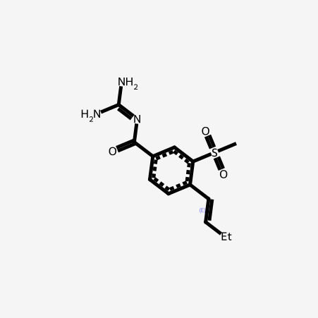 CC/C=C/c1ccc(C(=O)N=C(N)N)cc1S(C)(=O)=O